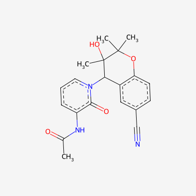 CC(=O)Nc1cccn(C2c3cc(C#N)ccc3OC(C)(C)C2(C)O)c1=O